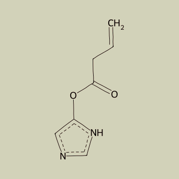 C=CCC(=O)Oc1cnc[nH]1